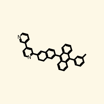 Cc1cccc(-c2c3ccccc3c(-c3ccc4c(c3)CCC(c3cc(-c5cccnc5)ccn3)=C4)c3ccccc23)c1